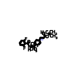 CC(C)(C)OC(=O)/C=C/c1ccc(C(=O)C(C)(C)NC(=O)c2c(F)cccc2F)cc1